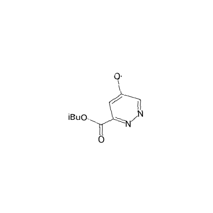 CC(C)COC(=O)c1cc([O])cnn1